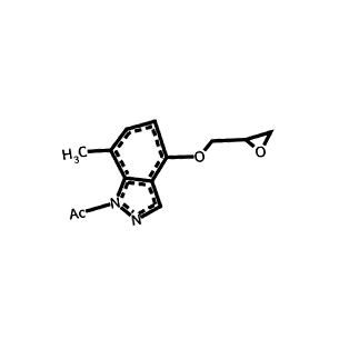 CC(=O)n1ncc2c(OCC3CO3)ccc(C)c21